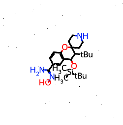 CC(C)(C)C1C(O[Si](C)(C)C(C)(C)C)c2cc(C(N)=NO)ccc2OC12CCNCC2